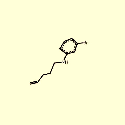 C=CCCCNc1cccc(Br)c1